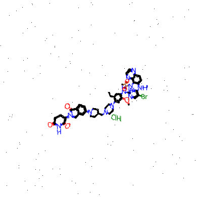 CCc1cc(Nc2ncc(Br)c(Nc3ccc4nccnc4c3NS(C)(=O)=O)n2)c(OC)cc1N1CCN(CC2CCN(c3ccc4c(c3)CN(C3CCC(=O)NC3=O)C4=O)CC2)CC1.Cl